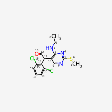 CCNc1nc(SC)ncc1C(C=O)c1c(Cl)cccc1Cl